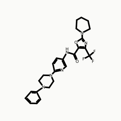 O=C(Nc1ccc(N2CCN(c3ccccc3)CC2)nc1)c1oc(N2CCCCC2)nc1C(F)(F)F